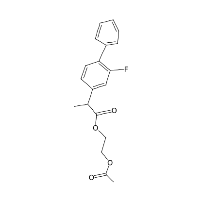 CC(=O)OCCOC(=O)C(C)c1ccc(-c2ccccc2)c(F)c1